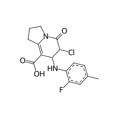 Cc1ccc(NC2C(C(=O)O)=C3CCCN3C(=O)C2Cl)c(F)c1